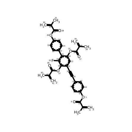 C=C(C)C(=O)Oc1ccc(C#Cc2cc(OC(=O)C(=C)C)c(-c3ccc(OC(=O)C(=C)C)cc3)c(F)c2OC(=O)C(=C)C)cc1